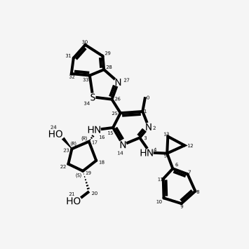 Cc1nc(NC2(c3ccccc3)CC2)nc(N[C@@H]2C[C@H](CO)C[C@H]2O)c1-c1nc2ccccc2s1